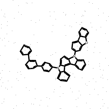 c1ccc(-c2cccc(-c3ccc(-n4c5ccccc5c5c6c7ccccc7n(-c7ccc8c(c7)oc7ccccc78)c6ccc54)cc3)c2)cc1